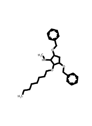 CCCCCCCCOC1C(OCc2ccccc2)CC(OCc2ccccc2)C1NC